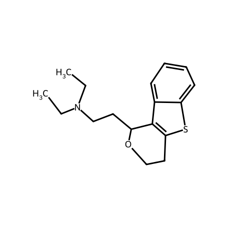 CCN(CC)CCC1OCCc2sc3ccccc3c21